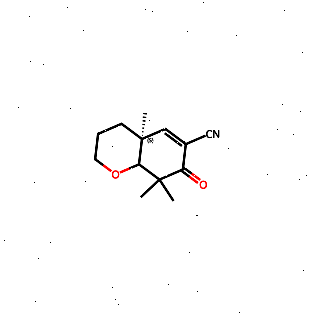 CC1(C)C(=O)C(C#N)=C[C@]2(C)CCCOC12